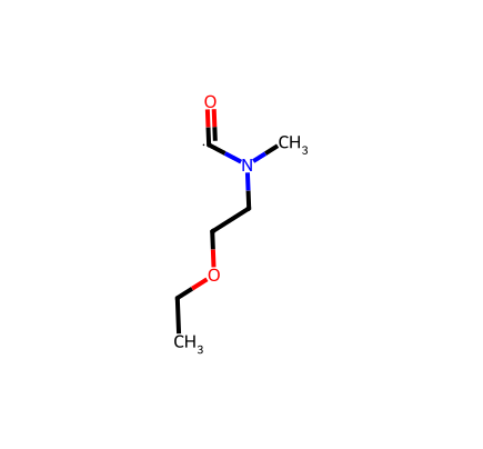 CCOCCN(C)[C]=O